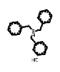 Cl.c1ccc(C[SiH](Cc2ccccc2)Cc2ccccc2)cc1